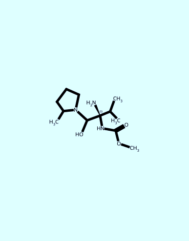 COC(=O)N[C@@](N)(C(C)C)C(O)N1CCCC1C